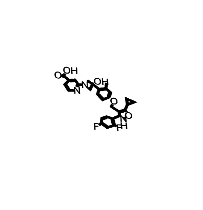 Cc1cc(OCC2=C(C3CC3)ONC2c2ccc(F)cc2F)ccc1C1(O)CN(c2cc(C(=O)O)ccn2)C1